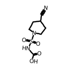 N#CC1CCN(S(=O)(=O)NC(=O)O)CC1